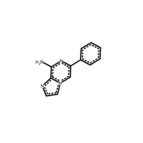 Nc1nc(-c2ccccc2)cn2ccnc12